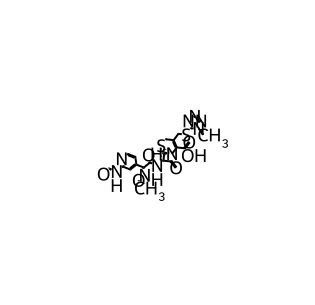 CON=C(C(=O)NC1C(=O)N2C(C(=O)O)=C(CSc3nnnn3C)CS[C@@H]12)c1ccnc(NC=O)c1